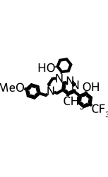 COc1ccc(CN2CCN([C@@H]3CCCC[C@H]3O)c3nnc(-c4ccc(C(F)(F)F)cc4O)c(C)c3C2)cc1